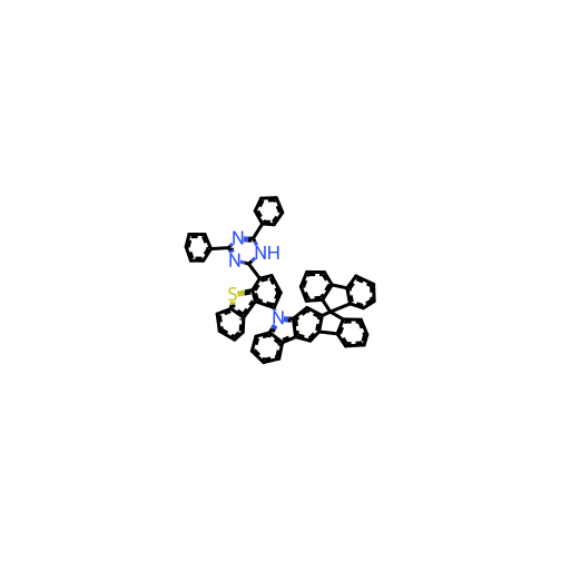 c1ccc(C2=NC(c3ccc(-n4c5ccccc5c5cc6c(cc54)C4(c5ccccc5-c5ccccc54)c4ccccc4-6)c4c3sc3ccccc34)NC(c3ccccc3)=N2)cc1